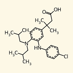 CC(C)CN(CC(C)C)c1ccc(C(C)(C)CC(=O)O)cc1Nc1ccc(Cl)cc1